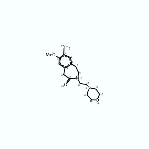 COc1cc2c(cc1N)CCN(CCN1CCOCC1)C(=O)C2